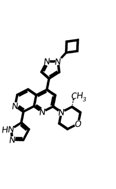 C[C@@H]1COCCN1c1cc(-c2cnn(C3CCC3)c2)c2ccnc(-c3ccn[nH]3)c2n1